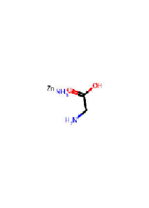 N.NCC(=O)O.[Zn]